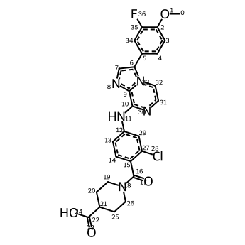 COc1ccc(-c2cnc3c(Nc4ccc(C(=O)N5CCC(C(=O)O)CC5)c(Cl)c4)nccn23)cc1F